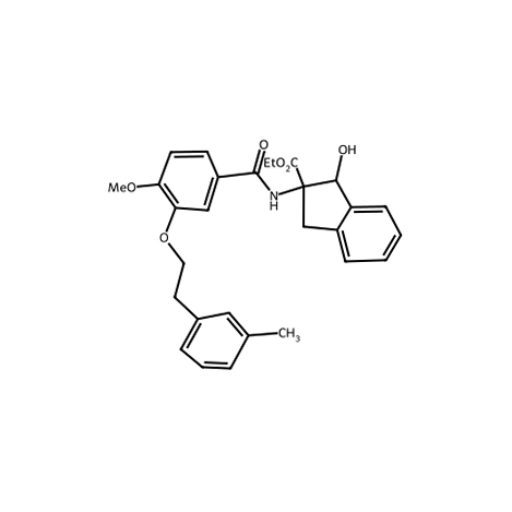 CCOC(=O)C1(NC(=O)c2ccc(OC)c(OCCc3cccc(C)c3)c2)Cc2ccccc2C1O